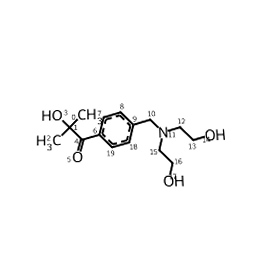 CC(C)(O)C(=O)c1ccc(CN(CCO)CCO)cc1